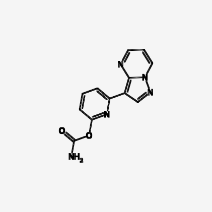 NC(=O)Oc1cccc(-c2cnn3cccnc23)n1